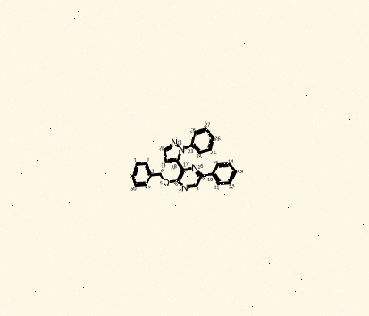 c1ccc(COc2ncc(-c3ccccc3)nc2-c2ccnn2-c2ccccc2)cc1